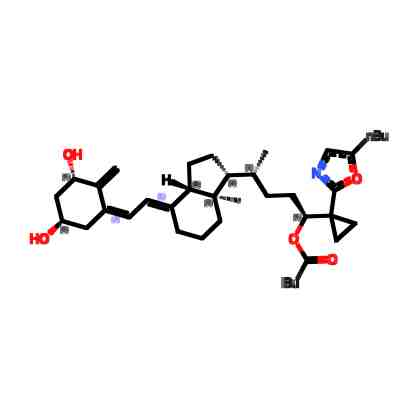 C=C1/C(=C\C=C2/CCC[C@]3(C)[C@@H]([C@H](C)CC[C@H](OC(=O)C(C)CC)C4(c5ncc(CCCC)o5)CC4)CC[C@@H]23)C[C@@H](O)C[C@@H]1O